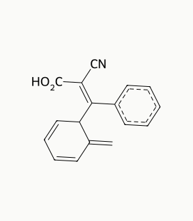 C=C1C=CC=CC1C(=C(C#N)C(=O)O)c1ccccc1